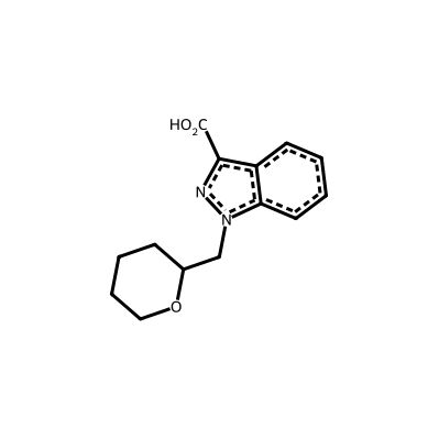 O=C(O)c1nn(CC2CCCCO2)c2ccccc12